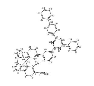 N#Cc1cccc2c1Oc1c(-c3cccc(-c4nc(-c5ccccc5)nc(-c5ccc(-c6ccccc6)cc5)n4)c3)cccc1C21c2ccccc2-c2ccccc21